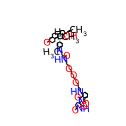 CC#C[C@]1(O)CC[C@H]2[C@@H]3CCC4=CC(=O)CCC4=C3[C@@H](c3ccc(N(C)CCC(=O)NCCCOCCOCCOCCCNc4cccc5c4C(=O)N(C4CCC(=O)NC4=O)C5=O)cc3)C[C@@]21C